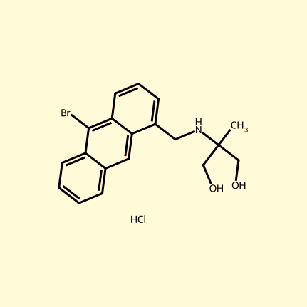 CC(CO)(CO)NCc1cccc2c(Br)c3ccccc3cc12.Cl